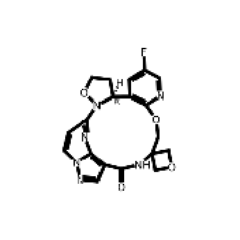 O=C1NC2(COC2)COc2ncc(F)cc2[C@@H]2CCON2c2ccn3ncc1c3n2